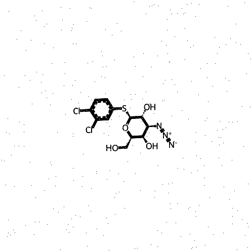 [N-]=[N+]=N[C@H]1[C@@H](O)[C@@H](CO)O[C@@H](Sc2ccc(Cl)c(Cl)c2)[C@@H]1O